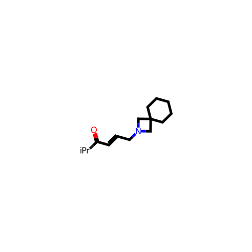 CC(C)C(=O)/C=C/CN1CC2(CCCCC2)C1